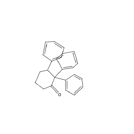 O=C1CCCC(c2ccccc2)C1(c1ccccc1)c1ccccc1